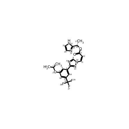 CC(C)Oc1cc(-c2ncn(/C=C\C(=O)O[C@@H](C)c3ncc[nH]3)n2)cc(C(F)(F)F)c1